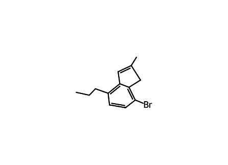 CCCc1ccc(Br)c2c1C=C(C)C2